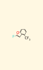 Fc1cc2c(C(F)(F)F)cccc2o1